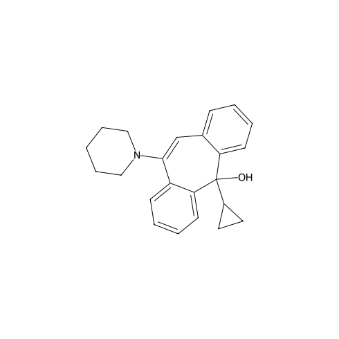 OC1(C2CC2)c2ccccc2C=C(N2CCCCC2)c2ccccc21